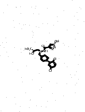 O=C(NN(Cc1ccc(-c2cc(Cl)ccc2Cl)cc1)C[C@@H](O)C(=O)O)c1cn(O)nn1